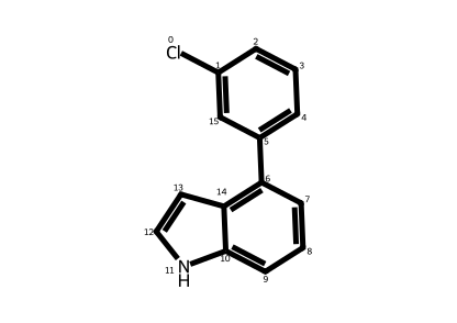 Clc1cccc(-c2cccc3[nH]ccc23)c1